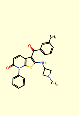 Cc1cccc(C(=O)c2c(NC3CN(C)C3)sc3c2ccc(=O)n3-c2ccccc2)c1